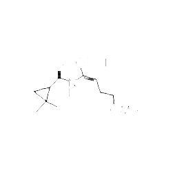 COCC/C=C(\NC(=O)C1CC1(C)C)C(=O)O